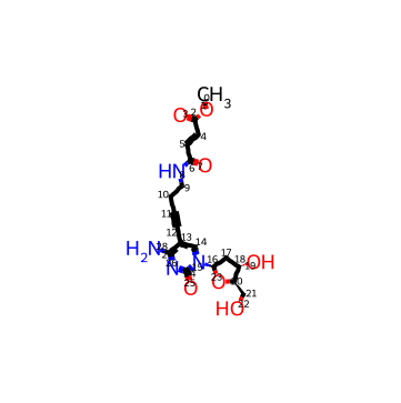 COC(=O)/C=C/C(=O)NCCC#Cc1cn([C@H]2C[C@H](O)[C@@H](CO)O2)c(=O)nc1N